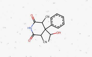 CC(O)C1(c2ccccc2)C(C#N)C(=O)NC(=O)C1C#N